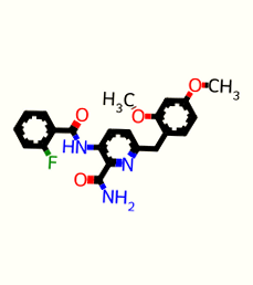 COc1ccc(Cc2ccc(NC(=O)c3ccccc3F)c(C(N)=O)n2)c(OC)c1